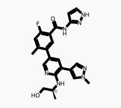 Cc1cc(F)c(C(=O)Nc2cc[nH]n2)cc1-c1cnc(N[C@@H](C)CO)c(-c2cnn(C)c2)c1